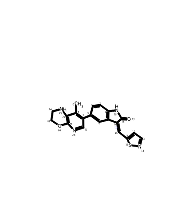 Cc1c(-c2ccc3c(c2)/C(=C/c2ccns2)C(=O)N3)cnc2c1NCCO2